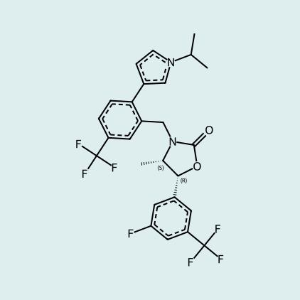 CC(C)n1ccc(-c2ccc(C(F)(F)F)cc2CN2C(=O)O[C@H](c3cc(F)cc(C(F)(F)F)c3)[C@@H]2C)c1